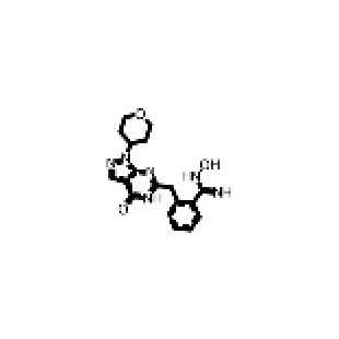 N=C(NO)c1ccccc1Cc1nc2c(cnn2C2CCOCC2)c(=O)[nH]1